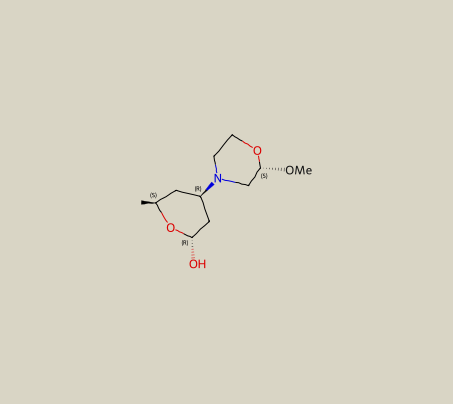 CO[C@@H]1CN([C@@H]2C[C@H](C)O[C@@H](O)C2)CCO1